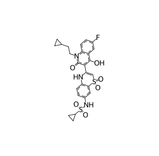 O=c1c(C2=CS(=O)(=O)c3cc(NS(=O)(=O)C4CC4)ccc3N2)c(O)c2cc(F)ccc2n1CCC1CC1